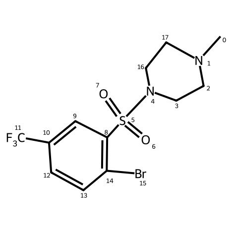 CN1CCN(S(=O)(=O)c2cc(C(F)(F)F)ccc2Br)CC1